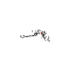 C=C(CNC(=O)CCC(C)C)O/N=C(/c1ccc(CCCCCCCCCC)cc1)C(C)C